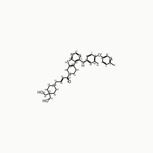 Cc1ccc(Oc2ccc(Nc3ncnc4sc5c(c34)CCN(C(=O)/C=C/CN3CCC(CO)(CO)CC3)C5)cc2C)cn1